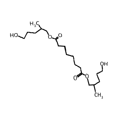 CC(CCCO)COC(=O)CCCCCCC(=O)OCC(C)CCCO